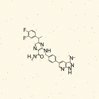 CC(c1ccc(F)c(F)c1)c1cnc(C(N)=O)c(NCc2ccc(-c3cnc4[nH]nc(N(C)C)c4c3)cc2)n1